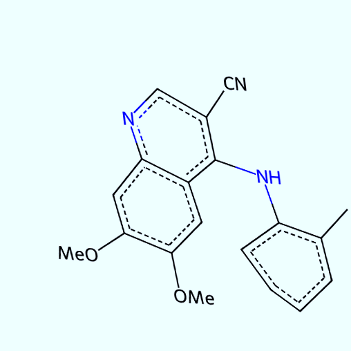 COc1cc2ncc(C#N)c(Nc3ccccc3C)c2cc1OC